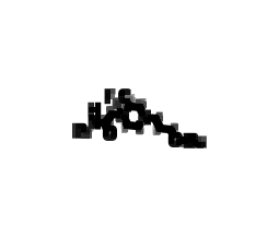 CCC(C)OCCCN1CCN(CC(=O)NC(C)C)[C@@H](C(F)(F)F)C1